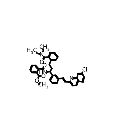 CCN(CC)C(=O)c1ccccc1CCC(NC(=O)c1ccccc1C(=O)OC)c1cccc(C=Cc2ccc3ccc(Cl)cc3n2)c1